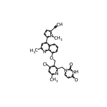 C#Cc1ccc(-c2cc(C)nc3c(OCc4c(Cl)cc(C)nc4Cn4ccc(=O)[nH]c4=O)cccc23)n1C